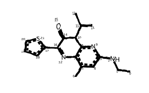 CCNc1cc(C)c2c(n1)C(C(C)C)C(=O)C(c1cccs1)=N2